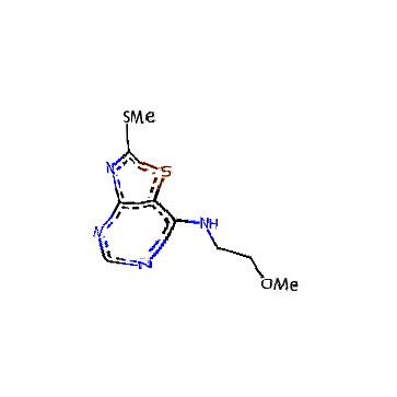 COCCNc1ncnc2nc(SC)sc12